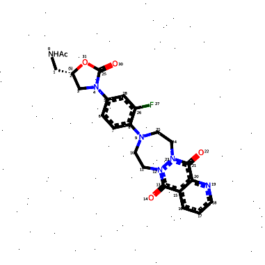 CC(=O)NC[C@H]1CN(c2ccc(N3CCn4c(=O)c5cccnc5c(=O)n4CC3)c(F)c2)C(=O)O1